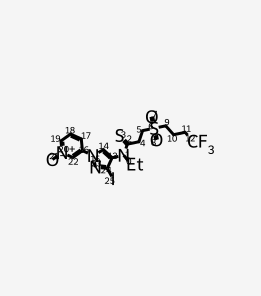 CCN(C(=S)CCS(=O)(=O)CCCC(F)(F)F)c1cn(-c2ccc[n+]([O-])c2)nc1I